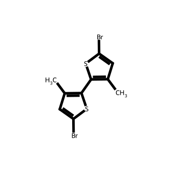 Cc1cc(Br)sc1-c1sc(Br)cc1C